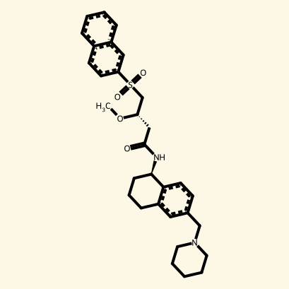 CO[C@@H](CC(=O)N[C@@H]1CCCc2cc(CN3CCCCC3)ccc21)CS(=O)(=O)c1ccc2ccccc2c1